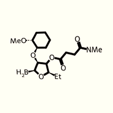 B[C@@H]1O[C@H](CC)C(OC(=O)CCC(=O)NC)[C@@H]1O[C@@H]1CCCC[C@H]1OC